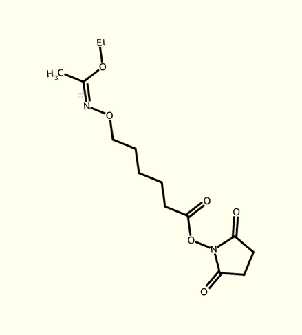 CCO/C(C)=N\OCCCCCC(=O)ON1C(=O)CCC1=O